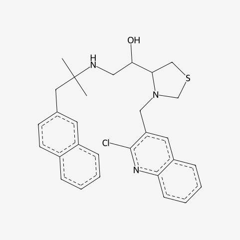 CC(C)(Cc1ccc2ccccc2c1)NCC(O)C1CSCN1Cc1cc2ccccc2nc1Cl